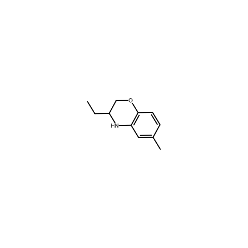 CCC1COc2ccc(C)cc2N1